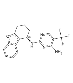 Nc1nc(N[C@@H]2CCCc3oc4ccccc4c32)ncc1C(F)(F)F